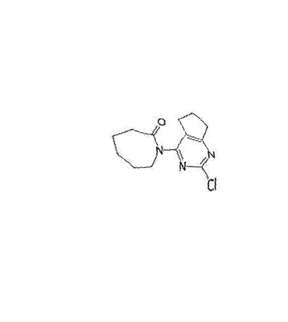 O=C1CCCCCN1c1nc(Cl)nc2c1CCC2